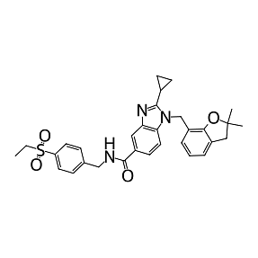 CCS(=O)(=O)c1ccc(CNC(=O)c2ccc3c(c2)nc(C2CC2)n3Cc2cccc3c2OC(C)(C)C3)cc1